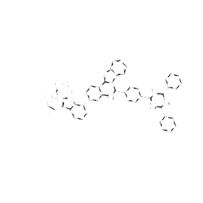 C=Cc1sc2c(-c3ccc4c(c3)nc(-c3ccc(-c5nc(-c6ccccc6)nc(-c6ccccc6)n5)cc3)c3c5ccccc5sc43)cccc2c1/C=C\C